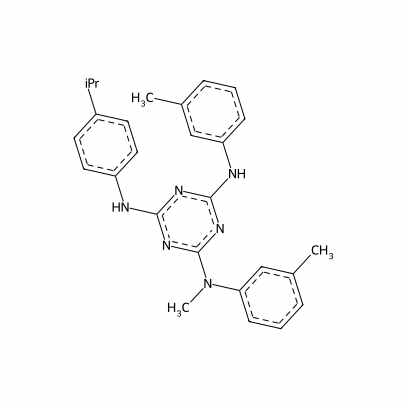 Cc1cccc(Nc2nc(Nc3ccc(C(C)C)cc3)nc(N(C)c3cccc(C)c3)n2)c1